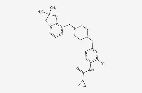 CC1(C)Cc2cccc(CN3CCC(Cc4ccc(NC(=O)C5CC5)c(F)c4)CC3)c2O1